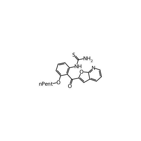 CCCCCOc1cccc(NC(N)=S)c1C(=O)c1cc2cccnc2o1